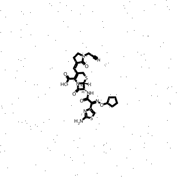 N#CCN1CCC(=CC2=C(C(=O)O)N3C(=O)[C@@H](NC(=O)C(=NOC4CCCC4)c4csc(N)n4)[C@H]3SC2)C1=O